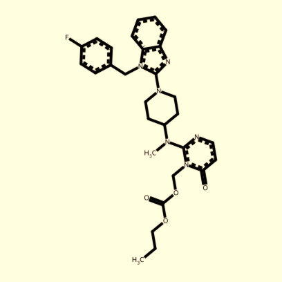 CCCOC(=O)OCn1c(N(C)C2CCN(c3nc4ccccc4n3Cc3ccc(F)cc3)CC2)nccc1=O